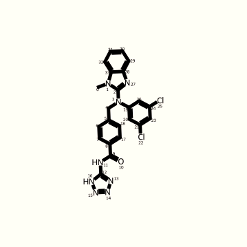 Cn1c(N(Cc2ccc(C(=O)Nc3nnn[nH]3)cc2)c2cc(Cl)cc(Cl)c2)nc2ccccc21